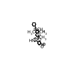 Cc1c(C)c2c(c(C)c1OCC1=CCCC=C1)C=CC(C)(C(=O)N1CCNCC1c1ccc([N+](=O)[O-])cc1)O2